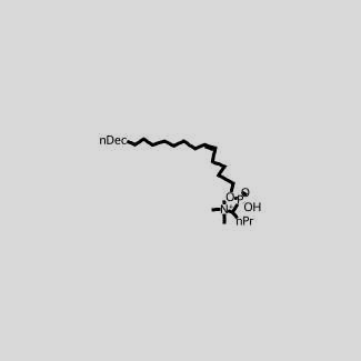 CCCCCCCCCCCCCCCCC/C=C\CCCCOP(=O)(O)C(CCC)[N+](C)(C)C